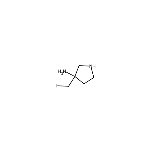 NC1(CI)CCNC1